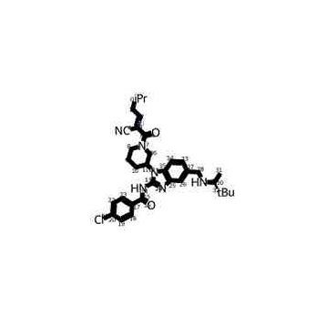 CC(C)C/C=C(\C#N)C(=O)N1CCCC(n2c(NC(=O)c3ccc(Cl)cc3)nc3cc(CN[C@@H](C)C(C)(C)C)ccc32)C1